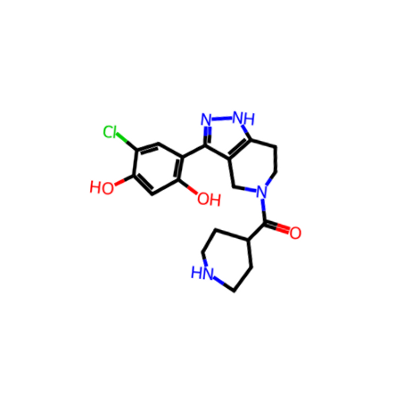 O=C(C1CCNCC1)N1CCc2[nH]nc(-c3cc(Cl)c(O)cc3O)c2C1